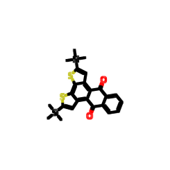 C[Si](C)(C)c1cc2c3c(c4cc([Si](C)(C)C)sc4c2s1)C(=O)c1ccccc1C3=O